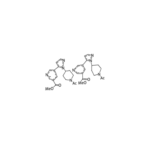 COC(=O)c1cncc(-c2ccnn2C2CCN(C(C)=O)CC2)c1.COC(=O)c1cncc(-c2ccnn2C2CCN(C(C)=O)CC2)c1